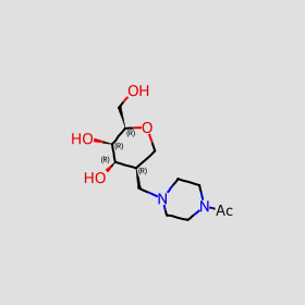 CC(=O)N1CCN(C[C@@H]2CO[C@H](CO)[C@H](O)[C@@H]2O)CC1